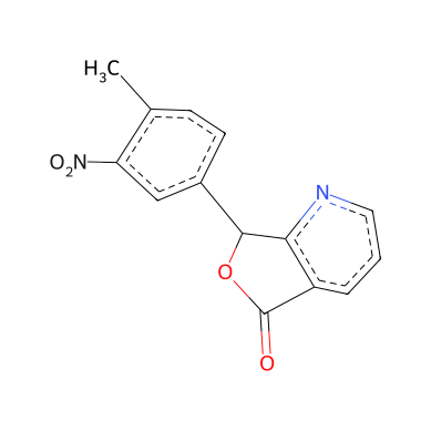 Cc1ccc(C2OC(=O)c3cccnc32)cc1[N+](=O)[O-]